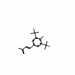 C=C(C)/C=C/c1cc(C(C)(C)C)c(C)c(C(C)(C)I)c1